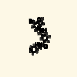 O=C(NCc1ccncc1)c1cccc(CNN2C=CC(Br)=C3OCCC32)c1